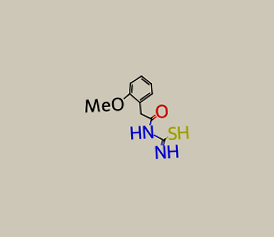 COc1ccccc1CC(=O)NC(=N)S